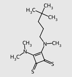 CN(C)c1c(N(C)CCCC(C)(C)C)c(=S)c1=S